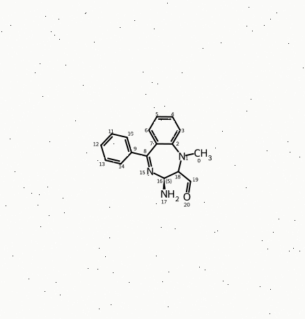 CN1c2ccccc2C(c2ccccc2)=N[C@H](N)C1C=O